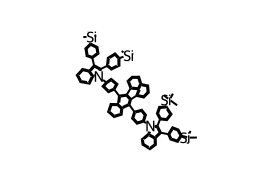 C[Si](C)(C)c1ccc(-c2c(-c3ccc([Si](C)(C)C)cc3)n(-c3ccc(-c4c5c(c(-c6ccc(-n7c(-c8ccc([Si](C)(C)C)cc8)c(-c8ccc([Si](C)(C)C)cc8)c8ccccc87)cc6)c6ccccc46)-c4cccc6cccc-5c46)cc3)c3ccccc23)cc1